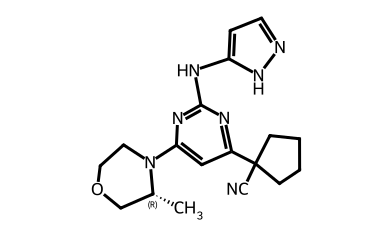 C[C@@H]1COCCN1c1cc(C2(C#N)CCCC2)nc(Nc2ccn[nH]2)n1